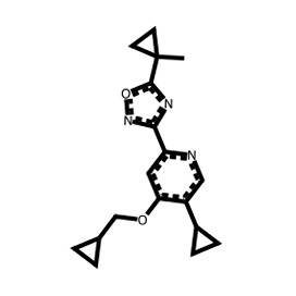 CC1(c2nc(-c3cc(OCC4CC4)c(C4CC4)cn3)no2)CC1